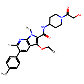 CCc1nc2c(cc1-c1ccc(OC)cc1)c(OCC(F)(F)F)c(C(=O)NC1CCN(C(=O)CO)CC1)n2C